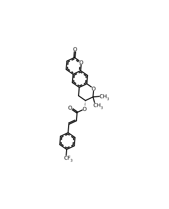 CC1(C)Oc2cc3oc(=O)ccc3cc2C[C@H]1OC(=O)/C=C/c1ccc(C(F)(F)F)cc1